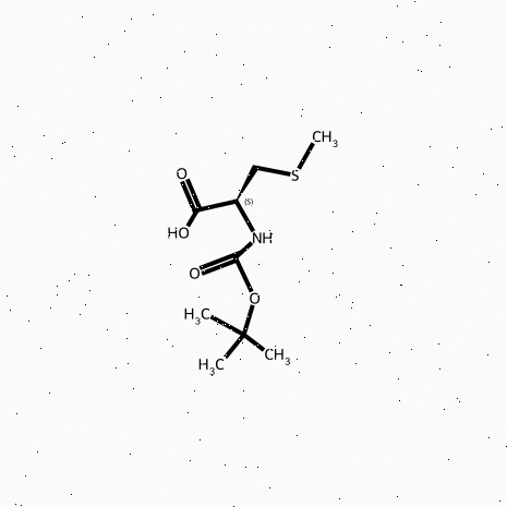 CSC[C@@H](NC(=O)OC(C)(C)C)C(=O)O